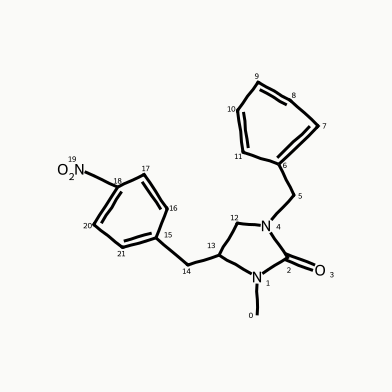 CN1C(=O)N(Cc2ccccc2)CC1Cc1ccc([N+](=O)[O-])cc1